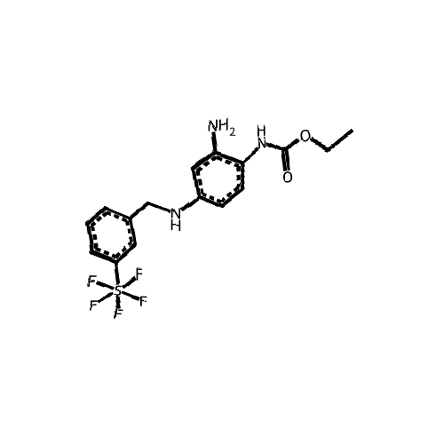 CCOC(=O)Nc1ccc(NCc2cccc(S(F)(F)(F)(F)F)c2)cc1N